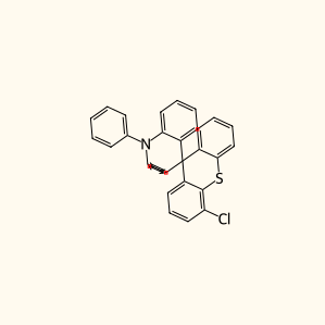 Clc1cccc2c1Sc1ccccc1C21c2ccccc2N(c2ccccc2)c2ccccc21